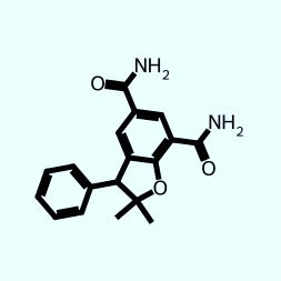 CC1(C)Oc2c(C(N)=O)cc(C(N)=O)cc2C1c1ccccc1